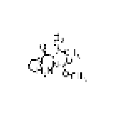 COC(=O)N(N)[C@H](C(=O)N1CCCC1)C(C)C